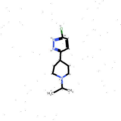 CC(C)N1CCC(c2ccc(Cl)nn2)CC1